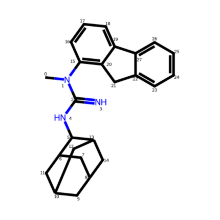 CN(C(=N)NC1C2CC3CC(C2)CC1C3)c1cccc2c1Cc1ccccc1-2